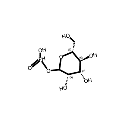 O=[PH](O)OC1O[C@H](CO)[C@@H](O)[C@H](O)[C@@H]1O